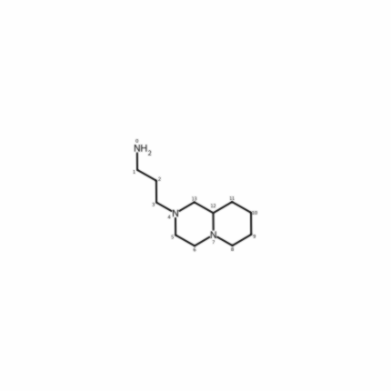 NCCCN1CCN2CCCCC2C1